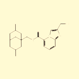 CC1CC2CC(C)CC(CNC(=O)c3cccc4nc(CCl)cn34)(C1)C2